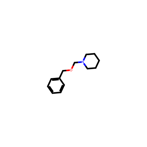 c1ccc(COCN2CCCCC2)cc1